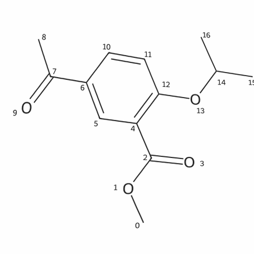 COC(=O)c1cc(C(C)=O)ccc1OC(C)C